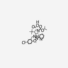 COc1ccc(Cl)cc1CN[C@@H]1[C@@H](C(C)(C)C)[C@H](C(=O)O)N(C(=O)OC(C)C)[C@@H]1c1cccnc1N(C)C